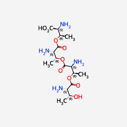 C[C@@H](O)[C@H](N)C(=O)O[C@H](C)[C@H](N)C(=O)O[C@H](C)[C@H](N)C(=O)O[C@H](C)[C@H](N)C(=O)O